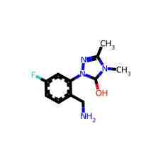 CC1=NN(c2cc(F)ccc2CN)C(O)N1C